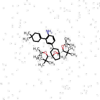 C[SiH](C)OC(C(C)(C)C)[C@@]12CC[C@@](C(O[SiH](C)C)C(C)(C)C)(C[C@@H](c3ccc(N)c(C4=CCC(C)(C)CC4)c3)C1)O2